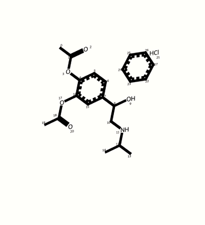 CC(=O)Oc1ccc(C(O)CNC(C)C)cc1OC(C)=O.Cl.c1ccccc1